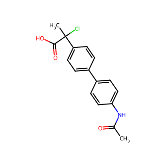 CC(=O)Nc1ccc(-c2ccc(C(C)(Cl)C(=O)O)cc2)cc1